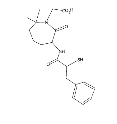 CC1(C)CCCC(NC(=O)C(S)Cc2ccccc2)C(=O)N1CC(=O)O